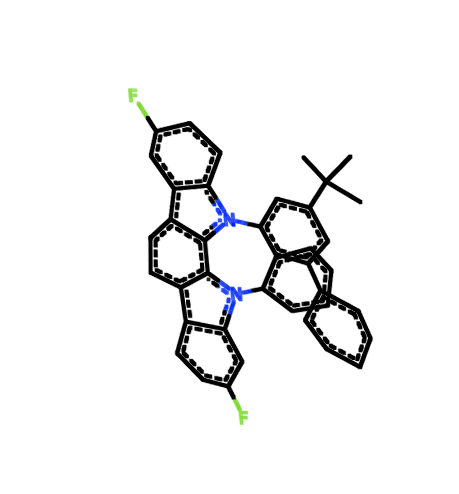 CC(C)(C)c1cc(-c2ccccc2)cc(-n2c3ccc(F)cc3c3ccc4c5ccc(F)cc5n(-c5ccccc5)c4c32)c1